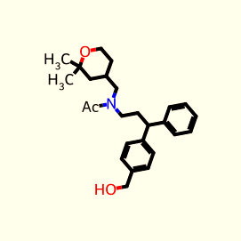 CC(=O)N(CCC(c1ccccc1)c1ccc(CO)cc1)CC1CCOC(C)(C)C1